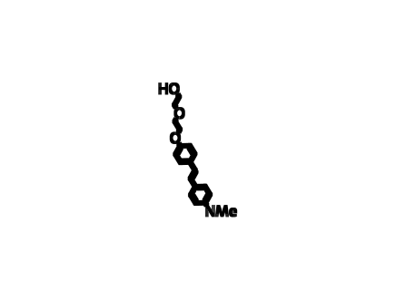 CNc1ccc(/C=C/c2ccc(OCCOCCO)cc2)cc1